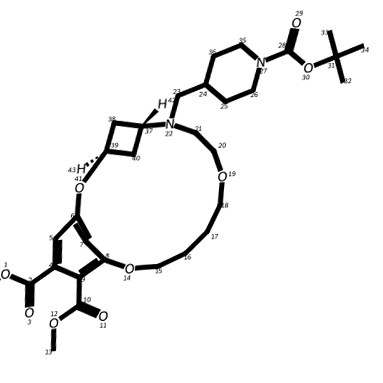 COC(=O)c1cc2cc(c1C(=O)OC)OCCCCOCCN(CC1CCN(C(=O)OC(C)(C)C)CC1)[C@H]1C[C@@H](C1)O2